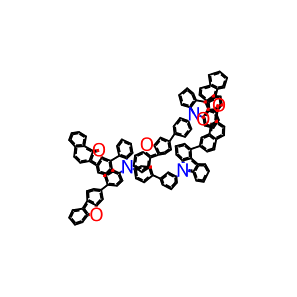 c1cc(-c2ccc(N(c3ccc(-c4ccc5c(c4)oc4ccccc45)cc3)c3ccccc3-c3cccc4c3oc3c5ccccc5ccc43)cc2)cc(-n2c3ccccc3c3c(-c4ccc5ccc6c7cccc(-c8ccccc8N(c8ccc(-c9ccc%10c(c9)oc9ccccc9%10)cc8)c8cccc9oc%10c%11ccccc%11ccc%10c89)c7oc6c5c4)cccc32)c1